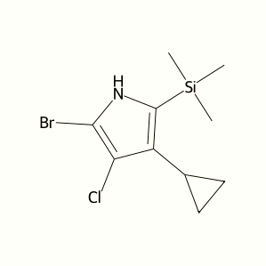 C[Si](C)(C)c1[nH]c(Br)c(Cl)c1C1CC1